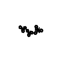 C1=CCC(n2c3ccccc3c3c(-c4ccc(-n5c6ccccc6c6cc(-c7cccc(-c8nc(-c9ccccc9)nc(-c9ccccc9)n8)c7)ccc65)cc4)cccc32)C=C1